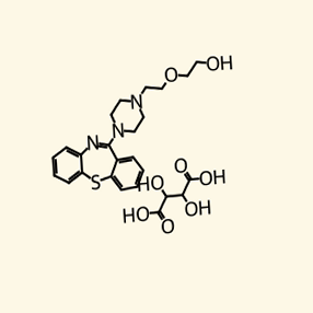 O=C(O)C(O)C(O)C(=O)O.OCCOCCN1CCN(C2=Nc3ccccc3Sc3ccccc32)CC1